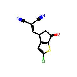 N#CC(C#N)=CC1CC(=O)c2sc(Cl)cc21